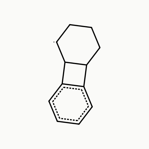 [CH]1CCCC2c3ccccc3C12